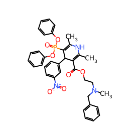 CC1=C(C(=O)OCCN(C)Cc2ccccc2)C(c2cccc([N+](=O)[O-])c2)C(P(=O)(Oc2ccccc2)Oc2ccccc2)=C(C)N1